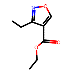 CCOC(=O)c1conc1CC